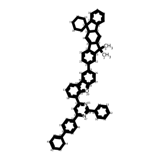 CC1(C)C2=CC3c4ccccc4C4(CCCCC4)C3C=C2c2ccc(-c3ccc4oc5c(-c6cc(-c7ccc(C8=CC=CCC8)cc7)nc(-c7ccccc7)n6)cccc5c4c3)cc21